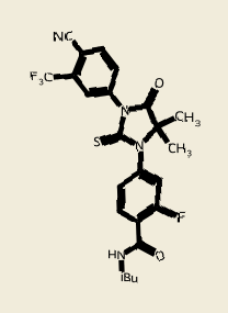 CCC(C)NC(=O)c1ccc(N2C(=S)N(c3ccc(C#N)c(C(F)(F)F)c3)C(=O)C2(C)C)cc1F